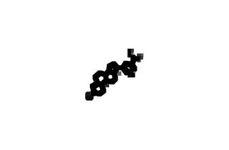 C[C@]12CCC3C(CCC4=CC(=O)CC[C@@]43C)C1=CC=C2c1cncc(C(F)F)c1